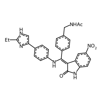 CCc1nc(-c2ccc(N/C(=C3\C(=O)Nc4ccc([N+](=O)[O-])cc43)c3ccc(CNC(C)=O)cc3)cc2)c[nH]1